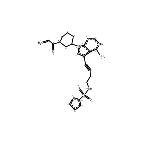 C=CC(=O)N1CCCC(n2nc(C#CCCNS(=O)(=O)c3cccs3)c3c(N)ncnc32)C1